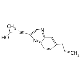 C=CCc1ccc2nc(C#CC(C)O)cnc2c1